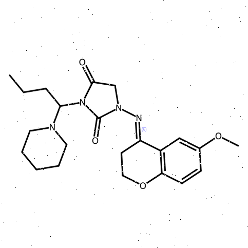 CCCC(N1CCCCC1)N1C(=O)CN(/N=C2\CCOc3ccc(OC)cc32)C1=O